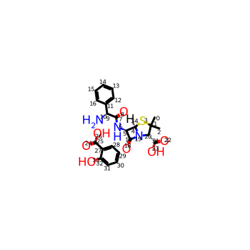 CC1(C)S[C@@H]2[C@H](NC(=O)[C@H](N)c3ccccc3)C(=O)N2[C@H]1C(=O)O.O=C(O)c1ccccc1O